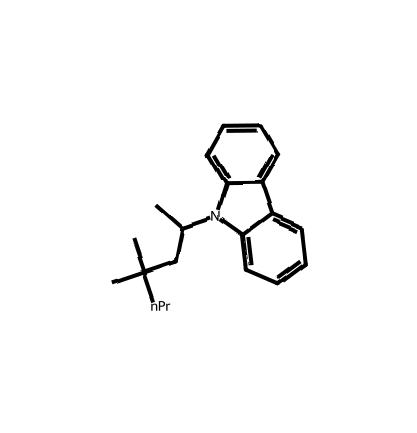 CCCC(C)(C)CC(C)n1c2ccccc2c2ccccc21